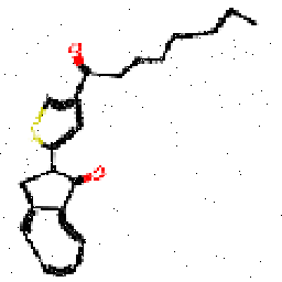 CCCCCCCC(=O)c1csc(C2Cc3ccccc3C2=O)c1